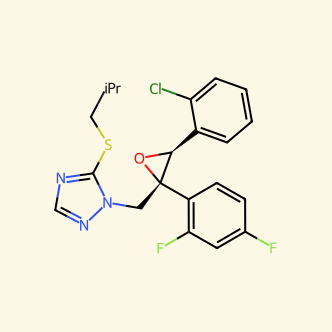 CC(C)CSc1ncnn1C[C@@]1(c2ccc(F)cc2F)O[C@H]1c1ccccc1Cl